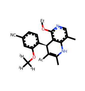 [2H]C([2H])([2H])Oc1cc(C#N)ccc1[C@@H]1C(C(C)=O)=C(C)Nc2c(C)cnc(OCC)c21